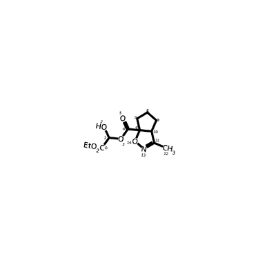 CCOC(=O)C(O)OC(=O)C12CCCC1C(C)=NO2